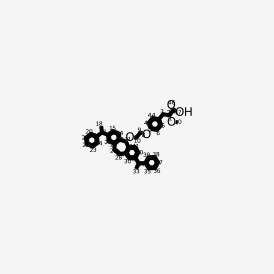 COC(Cc1ccc(OCCOC2c3ccc(C(C)c4ccccc4)cc3C=Cc3cc(C(C)c4ccccc4)ccc32)cc1)C(=O)O